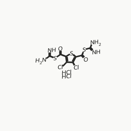 Cl.Cl.N=C(N)SC(=O)c1sc(C(=O)SC(=N)N)c(Cl)c1Cl